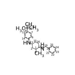 CC1CC(Nc2ccc(C(C)(C)C)cc2)CCC1NCc1ccccc1